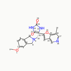 COc1ccc2c(c1)CN(C[C@@]1(c3cc4cncc(C)c4o3)NC(=O)NC1=O)C2